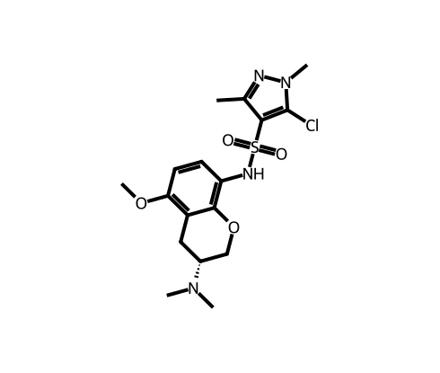 COc1ccc(NS(=O)(=O)c2c(C)nn(C)c2Cl)c2c1C[C@@H](N(C)C)CO2